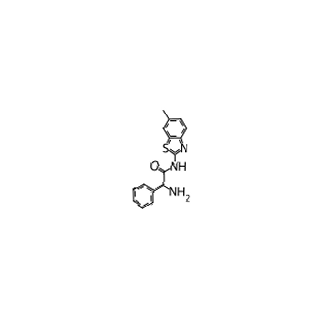 Cc1ccc2nc(NC(=O)C(N)c3ccccc3)sc2c1